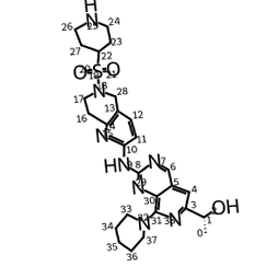 C[C@@H](O)c1cc2cnc(Nc3ccc4c(n3)CCN(S(=O)(=O)C3CCNCC3)C4)nc2c(N2CCCCC2)n1